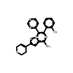 N#Cc1ccccc1-c1nc(N)c2cc(C3=CCOCC3)nn2c1-c1ccncn1